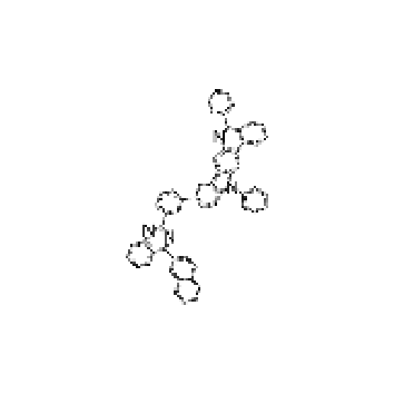 c1ccc(-c2nc3cc4c5cc(-c6cccc(-c7nc(-c8ccc9ccccc9c8)c8ccccc8n7)c6)ccc5n(-c5ccccc5)c4cc3c3ccccc23)cc1